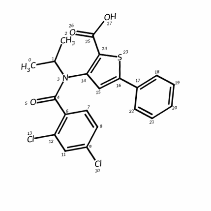 CC(C)N(C(=O)c1ccc(Cl)cc1Cl)c1cc(-c2ccccc2)sc1C(=O)O